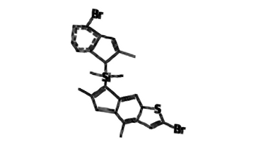 CC1=Cc2c(Br)cccc2C1[Si](C)(C)C1=C(C)C=C2C1=CC1SC(Br)=CC1=C2C